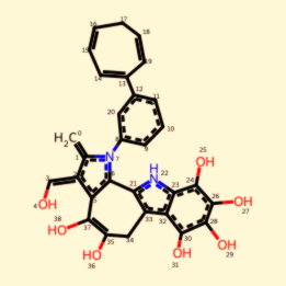 C=c1/c(=C/O)c2c(n1-c1cccc(C3=CC=CCC=C3)c1)-c1[nH]c3c(O)c(O)c(O)c(O)c3c1CC(O)=C2O